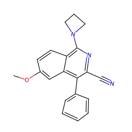 COc1ccc2c(N3CCC3)nc(C#N)c(-c3ccccc3)c2c1